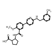 COc1ccc(-c2ccc(NCc3cccc(C)c3)nc2)cc1C(=O)NC1CCCC1C(=O)O